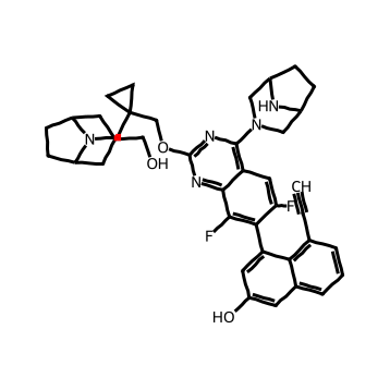 C#Cc1cccc2cc(O)cc(-c3c(F)cc4c(N5CC6CCC(C5)N6)nc(OCC5(CN6C7CCC6CC(CO)C7)CC5)nc4c3F)c12